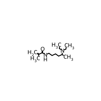 C=C(C)C(=O)NCCCCC(C)N(CC)CC